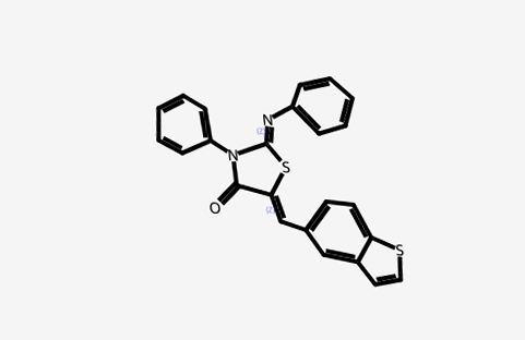 O=C1/C(=C/c2ccc3sccc3c2)S/C(=N\c2ccccc2)N1c1ccccc1